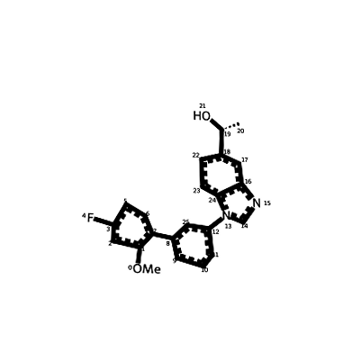 COc1cc(F)ccc1-c1cccc(-n2cnc3cc([C@@H](C)O)ccc32)c1